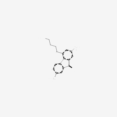 O=C(O)CCCCc1cc([N+](=O)[O-])cc2c1-c1ccc([N+](=O)[O-])cc1C2=O